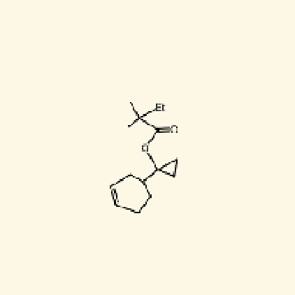 CCC(C)(C)C(=O)OC1(C2CC=CCC2)CC1